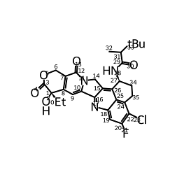 CC[C@@]1(O)C(=O)OCc2c1cc1n(c2=O)Cc2c-1nc1cc(F)c(Cl)c3c1c2[C@@H](NC(=O)C(C)C(C)(C)C)CC3